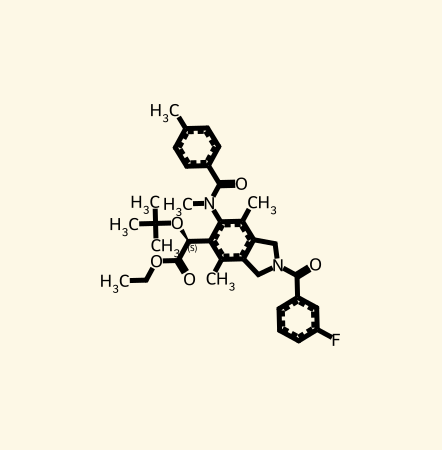 CCOC(=O)[C@@H](OC(C)(C)C)c1c(C)c2c(c(C)c1N(C)C(=O)c1ccc(C)cc1)CN(C(=O)c1cccc(F)c1)C2